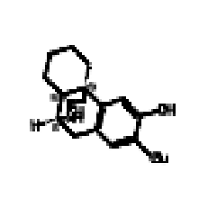 CC(C)(C)c1cc2c(cc1O)[C@]13CCCC[C@@H]1[C@H](C2)NCC3